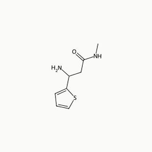 CNC(=O)CC(N)c1cccs1